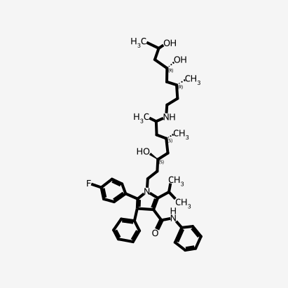 CC(O)C[C@H](O)C[C@H](C)CCNC(C)C[C@H](C)C[C@H](O)CCn1c(-c2ccc(F)cc2)c(-c2ccccc2)c(C(=O)Nc2ccccc2)c1C(C)C